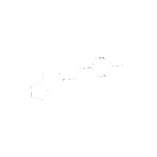 CC(NC(=O)C[C@@H]1CCCN1C)c1ccc(Cl)cc1